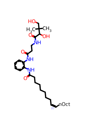 CCCCCCCC/C=C\CCCCCCCC(=O)Nc1ccccc1NC(=O)CCNC(=O)C(O)C(C)(C)CO